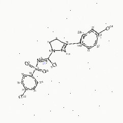 O=S(=O)(/N=C(\Cl)N1CCC(c2ccc(Cl)cc2)=N1)c1ccc(Cl)cc1